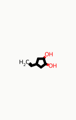 C=CC1CC(O)C(O)C1